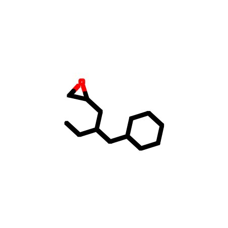 CCC(CC1CCCCC1)CC1CO1